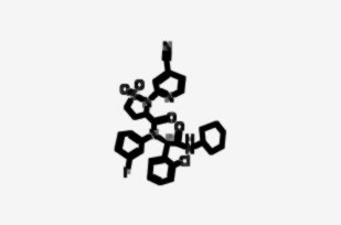 N#Cc1ccnc(N2C(C(=O)N(c3cccc(F)c3)[C@@H](C(=O)NC3CCCCC3)c3ccccc3Cl)CCS2(=O)=O)c1